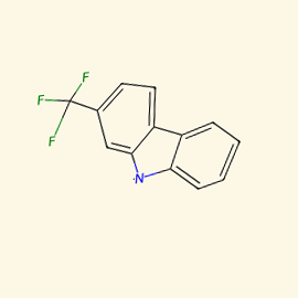 FC(F)(F)c1ccc2c(c1)[N]c1ccccc1-2